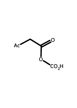 CC(=O)CC(=O)OC(=O)O